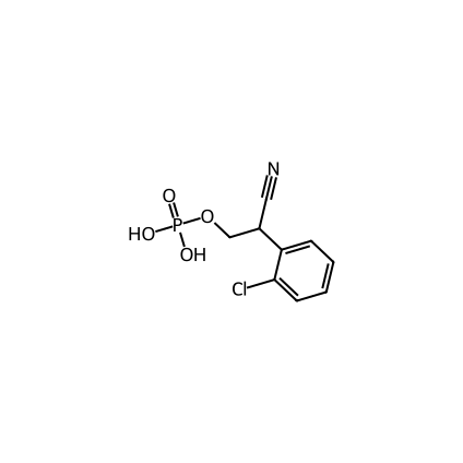 N#CC(COP(=O)(O)O)c1ccccc1Cl